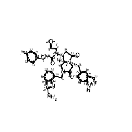 C=CCN(C(=O)NCc1ccc(F)cc1)N1CC(=O)N2[C@@H](Cc3ccc4[nH]ncc4c3)C(=O)N(Cc3cccc4sc(N)nc34)C[C@@H]21